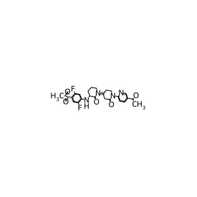 CC(=O)c1ccc(N2CC[C@H](N3CCCC(Nc4cc(F)c(S(C)(=O)=O)cc4F)C3=O)CC2=O)nc1